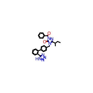 CCC(C)c1nn(C(=O)c2ccccc2)c(=O)n1Cc1ccc(-c2ccccc2-c2nnn[nH]2)cc1